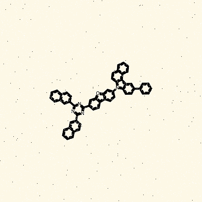 c1ccc(-c2ccc3c(c2)c2c4ccccc4ccc2n3-c2ccc3c(c2)oc2cc(-c4nc(-c5ccc6ccccc6c5)nc(-c5ccc6ccccc6c5)n4)ccc23)cc1